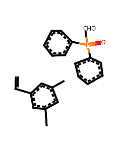 C=Cc1cc(C)cc(C)c1.O=CP(=O)(c1ccccc1)c1ccccc1